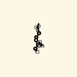 CCOC(=O)COc1cccc(-c2ccc3c(c2)C[C@@H](N(C[C@H](O)c2cccc(Cl)c2)C(=O)OC(C)(C)C)CC3)c1